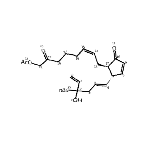 C=CC(O)(C/C=C/[C@H]1C=CC(=O)[C@@H]1C/C=C\CCCC(=O)COC(C)=O)CCCC